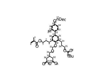 C=C(C)C(=O)OCCCc1cc(-c2ccc(OCCCCCCCCCC)cc2F)cc(CCCOC(=O)C(C)(C)C)c1OCOCC1CC(=O)OC(=O)C1